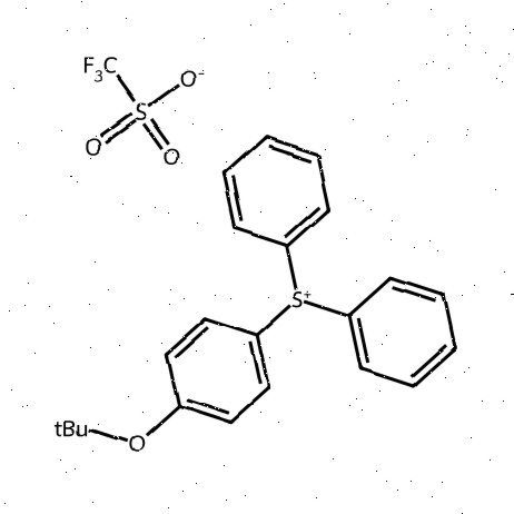 CC(C)(C)Oc1ccc([S+](c2ccccc2)c2ccccc2)cc1.O=S(=O)([O-])C(F)(F)F